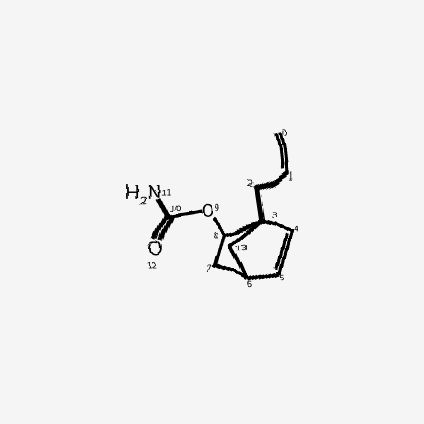 C=CCC12C=CC(CC1OC(N)=O)C2